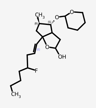 CCCCC(F)C/C=C/C12C[C@@H](C)[C@H](OC3CCCCO3)C1CC(O)O2